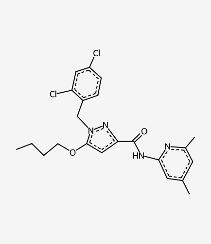 CCCCOc1cc(C(=O)Nc2cc(C)cc(C)n2)nn1Cc1ccc(Cl)cc1Cl